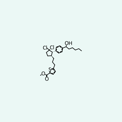 CCCCCC(O)c1ccc([C@@H]2[C@@H](CCCc3ccc(C(=O)OC)s3)CCC2(Cl)Cl)cc1